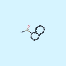 CC[S+]([O-])c1cccc2ccccc12